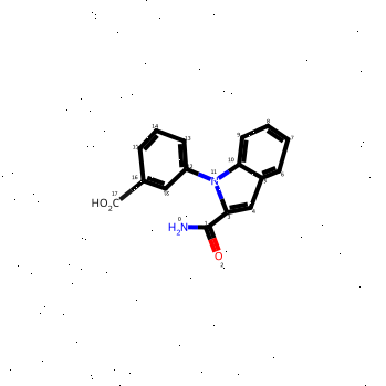 NC(=O)c1cc2ccccc2n1-c1cccc(C(=O)O)c1